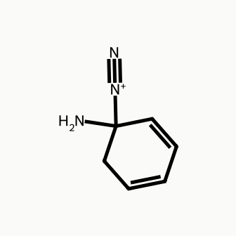 N#[N+]C1(N)C=CC=CC1